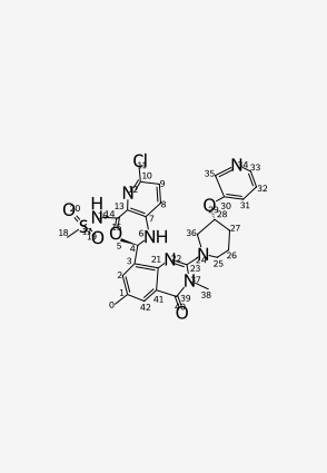 Cc1cc([C@@H](C)Nc2ccc(Cl)nc2C(=O)NS(C)(=O)=O)c2nc(N3CCC[C@@H](Oc4cccnc4)C3)n(C)c(=O)c2c1